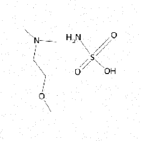 COCCN(C)C.NS(=O)(=O)O